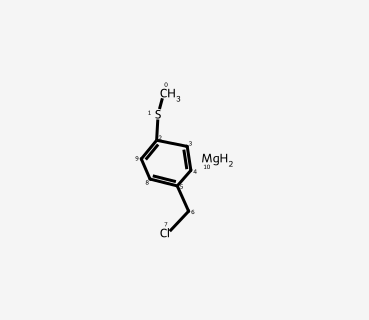 CSc1ccc(CCl)cc1.[MgH2]